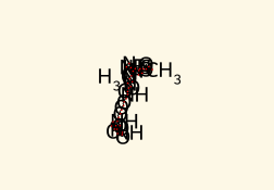 CCCS(=O)(=O)Nc1ccc(F)c(-n2cc(-c3cncnc3)c3nc(N(C)C4CCN(C(=O)CCC(=O)NCCCOCCOCCOCCCNc5cccc6c5C(=O)N(C5CCC(=O)NC5=O)C6=O)CC4)ccc32)c1F